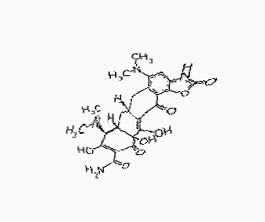 CN(C)c1cc2[nH]c(=O)oc2c2c1C[C@H]1C[C@H]3[C@H](N(C)C)C(O)=C(C(N)=O)C(=O)[C@@]3(O)C(O)=C1C2=O